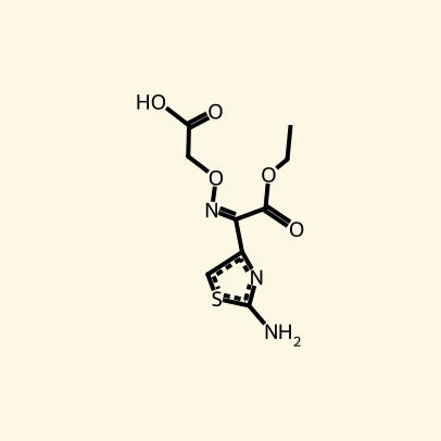 CCOC(=O)C(=NOCC(=O)O)c1csc(N)n1